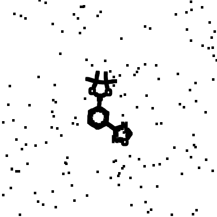 CC1(C)OB(c2cccc(-c3ncon3)c2)OC1(C)C